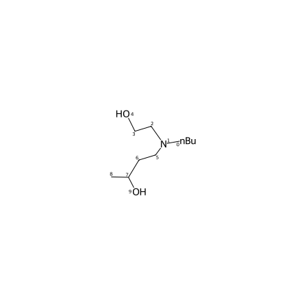 CCCCN(CCO)CCC(C)O